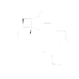 C[C@@H](O)[C@H]1C(=O)N2C(C(=O)O)=C(S[C@@H]3CN[C@H](C4CNC(=O)C4N)C3)[C@H](C)[C@H]12